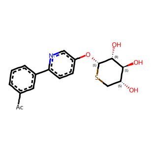 CC(=O)c1cccc(-c2ccc(O[C@H]3SC[C@@H](O)[C@H](O)[C@H]3O)cn2)c1